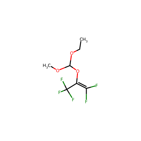 CCOC(OC)OC(=C(F)F)C(F)(F)F